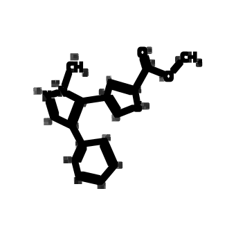 COC(=O)c1cc(-c2c(-c3ccccc3)cnn2C)cs1